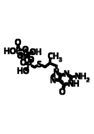 CC(CSCP(=O)(O)OP(=O)(O)OP(=O)(O)O)Cn1cnc2c(=O)[nH]c(N)nc21